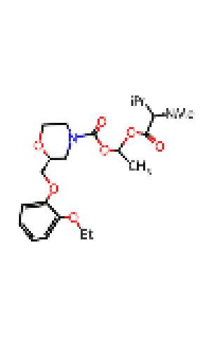 CCOc1ccccc1OC[C@@H]1CN(C(=O)OC(C)OC(=O)[C@H](NC)C(C)C)CCO1